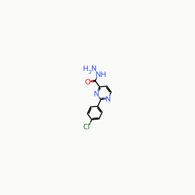 NNC(=O)c1ccnc(-c2ccc(Cl)cc2)n1